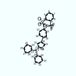 O=S(=O)([O-])c1ccccc1C(F)(F)F.c1ccc(-c2csc([S+](c3ccccc3)c3ccccc3)c2)cc1